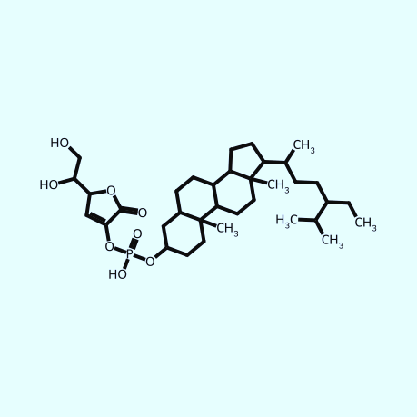 CCC(CCC(C)C1CCC2C3CCC4CC(OP(=O)(O)OC5=CC(C(O)CO)OC5=O)CCC4(C)C3CCC12C)C(C)C